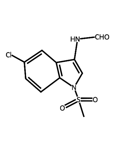 CS(=O)(=O)n1cc(NC=O)c2cc(Cl)ccc21